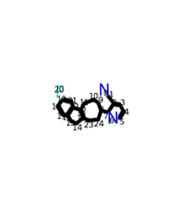 N#Cc1cccnc1C1CCCC2=C(CCc3ccc(F)cc32)CC1